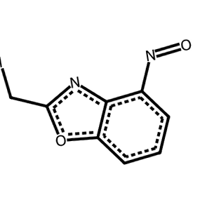 O=Nc1cccc2oc(CI)nc12